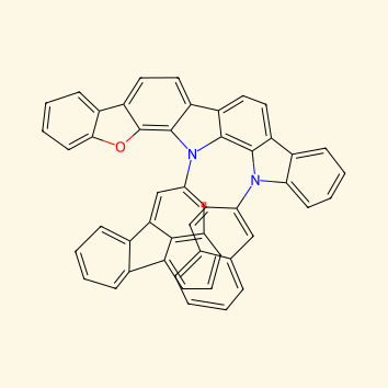 c1ccc2c(c1)-c1cccc3cc(-n4c5c(ccc6c7ccccc7oc65)c5ccc6c7ccccc7n(-c7ccc8ccccc8c7)c6c54)cc-2c13